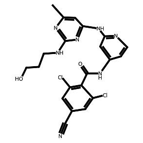 Cc1cc(Nc2cc(NC(=O)c3c(Cl)cc(C#N)cc3Cl)ccn2)nc(NCCCO)n1